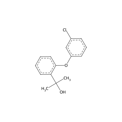 CC(C)(O)c1ccccc1Oc1cccc(Cl)c1